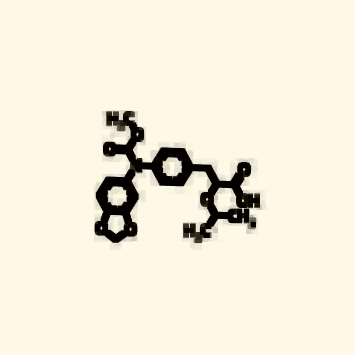 COC(=O)N(c1ccc(CC(OC(C)C)C(=O)O)cc1)c1ccc2c(c1)OCO2